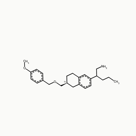 CCCC(CN)c1ccc2c(c1)CC[C@H](COCc1ccc(OC)cc1)C2